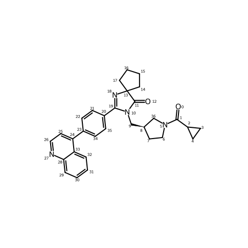 O=C(C1CC1)N1CC[C@@H](CN2C(=O)C3(CCCC3)N=C2c2ccc(-c3ccnc4ccccc34)cc2)C1